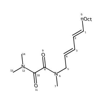 CCCCCCCC/C=C/C=C/CN(C)C(=O)C(=O)N(C)C